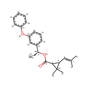 CC(C)=CC1C(C(=O)O[C@@H](C#N)c2cccc(Oc3ccccc3)c2)C1(C)C